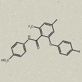 Cc1cc(Oc2ccc(F)cc2)c(C(=O)Nc2ccc(C(=O)O)cc2)c(C(F)(F)F)c1